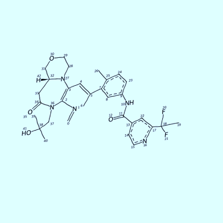 C=NC1=C(/C=C(\C)c2cc(NC(=O)c3ccnc(C(C)(F)F)c3)ccc2C)N2CCOC[C@H]2CC(=O)N1CC(C)(C)O